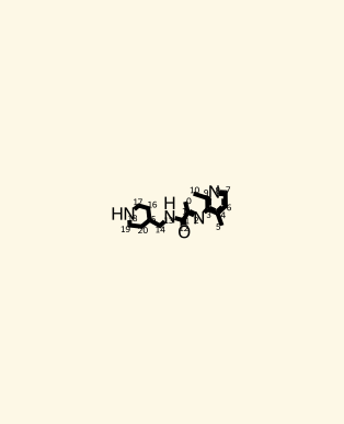 C/C(=N\c1c(C)ccnc1C)C(=O)NCC1CCNCC1